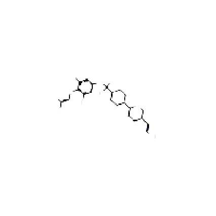 C/C=C/C1CCC(C2CCC(C(F)(F)Oc3cc(F)c(OC=C(F)F)c(F)c3)CC2)OC1